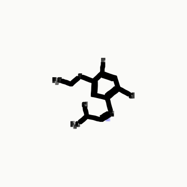 Fc1cc(Cl)c(/N=C\C(Cl)C(F)(F)F)cc1SCC(F)(F)F